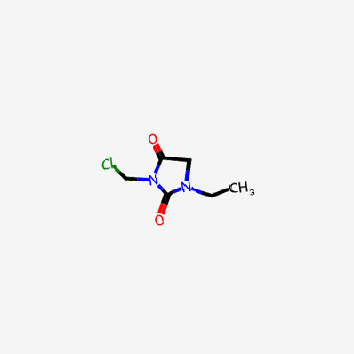 CCN1CC(=O)N(CCl)C1=O